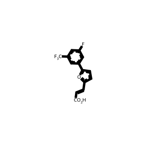 O=C(O)C=Cc1ccc(-c2cc(F)cc(C(F)(F)F)c2)o1